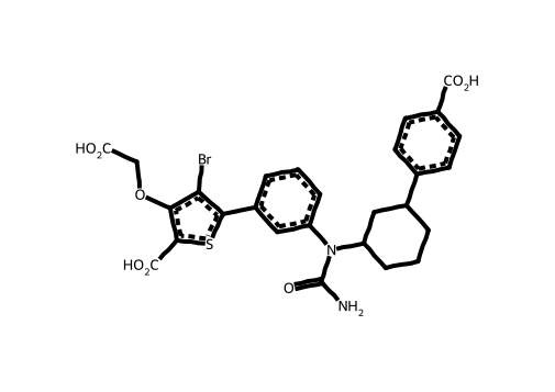 NC(=O)N(c1cccc(-c2sc(C(=O)O)c(OCC(=O)O)c2Br)c1)C1CCCC(c2ccc(C(=O)O)cc2)C1